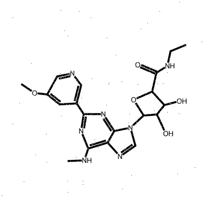 CCNC(=O)C1OC(n2cnc3c(NC)nc(-c4cncc(OC)c4)nc32)C(O)C1O